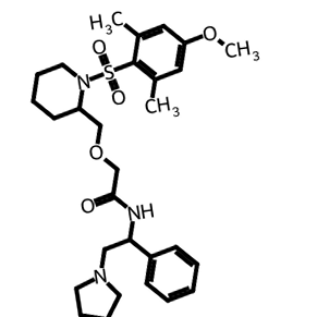 COc1cc(C)c(S(=O)(=O)N2CCCCC2COCC(=O)NC(CN2CCCC2)c2ccccc2)c(C)c1